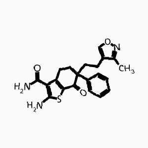 Cc1nocc1CCC1(c2ccccc2)CCc2c(sc(N)c2C(N)=O)C1=O